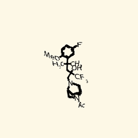 COc1ccc(F)cc1C(C)(C)CC(O)(CN1CC2CC1CN2C(C)=O)C(F)(F)F